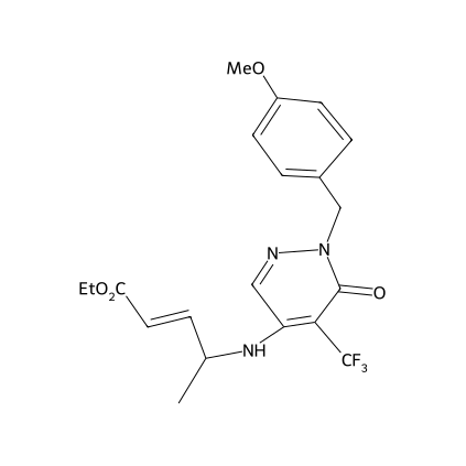 CCOC(=O)/C=C/C(C)Nc1cnn(Cc2ccc(OC)cc2)c(=O)c1C(F)(F)F